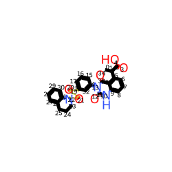 CC(C(=O)O)c1cccc2[nH]c(=O)n(-c3cccc(S(=O)(=O)N4CCCc5ccccc54)c3)c(=O)c12